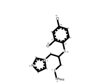 CCCCCSCC(Cn1ccnc1)Sc1ccc(Cl)cc1Cl